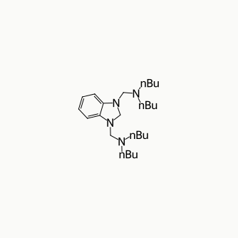 CCCCN(CCCC)CN1CN(CN(CCCC)CCCC)c2ccccc21